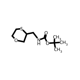 CC(C)(C)OC(=O)NCC1COCCS1